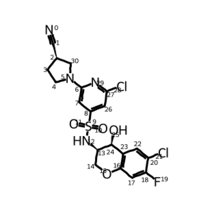 N#C[C@@H]1CCN(c2cc(S(=O)(=O)N[C@@H]3COc4cc(F)c(Cl)cc4[C@@H]3O)cc(Cl)n2)C1